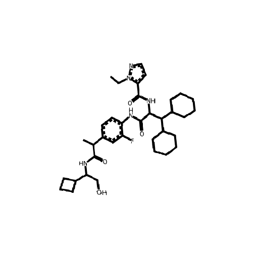 CCn1nccc1C(=O)NC(C(=O)Nc1ccc(C(C)C(=O)NC(CO)C2CCC2)cc1F)C(C1CCCCC1)C1CCCCC1